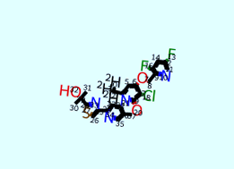 [2H]C([2H])([2H])c1cc(OCc2ncc(F)cc2F)c(Cl)c(=O)n1-c1cc(-c2csc(C(C)(C)O)n2)ncc1C